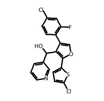 OC(c1cccnc1)c1c(-c2ccc(Cl)cc2F)coc1-c1ccc(Cl)s1